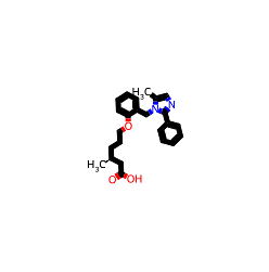 Cc1cnc(-c2ccccc2)n1Cc1ccccc1OCCC[C@@H](C)CC(=O)O